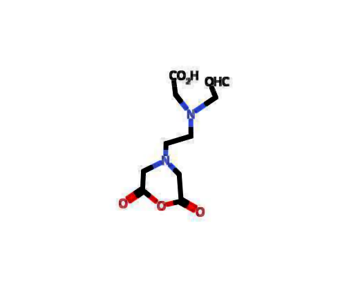 O=CCN(CCN1CC(=O)OC(=O)C1)CC(=O)O